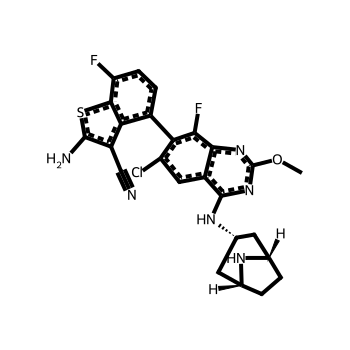 COc1nc(N[C@H]2C[C@H]3CC[C@@H](C2)N3)c2cc(Cl)c(-c3ccc(F)c4sc(N)c(C#N)c34)c(F)c2n1